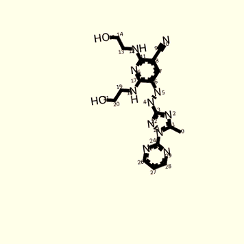 Cc1nc(/N=N/c2cc(C#N)c(NCCO)nc2NCCO)nn1-c1ncccn1